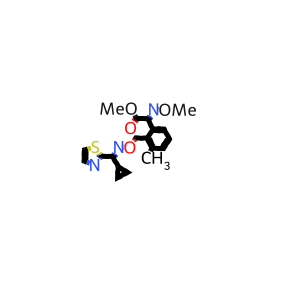 CO/N=C(/C(=O)OC)c1cccc(C)c1CO/N=C(/c1nccs1)C1CC1